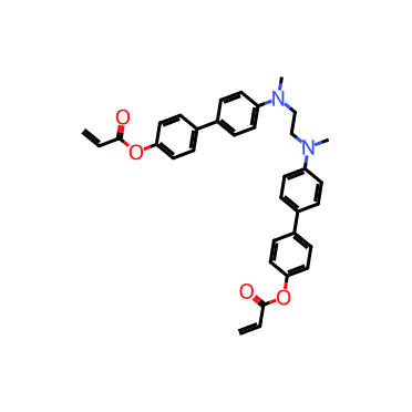 C=CC(=O)Oc1ccc(-c2ccc(N(C)CCN(C)c3ccc(-c4ccc(OC(=O)C=C)cc4)cc3)cc2)cc1